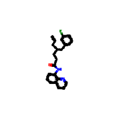 C=CCC(CCC(=O)Nc1cccc2cccnc12)Cc1cccc(F)c1